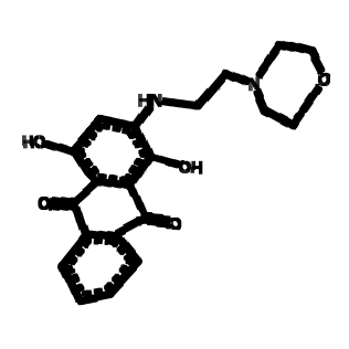 O=C1c2ccccc2C(=O)c2c(O)c(NCCN3CCOCC3)cc(O)c21